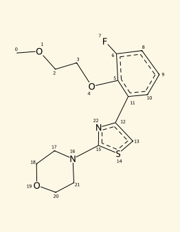 COCCOc1c(F)cccc1-c1csc(N2CCOCC2)n1